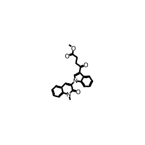 COC(=O)CCC(=O)c1cn(-c2cc3ccccc3n(C)c2=O)c2ccccc12